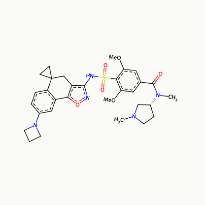 COc1cc(C(=O)N(C)[C@@H]2CCN(C)C2)cc(OC)c1S(=O)(=O)Nc1noc2c1CC1(CC1)c1ccc(N3CCC3)cc1-2